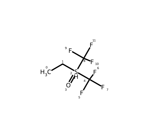 CC[SH](=O)(C(F)(F)F)C(F)(F)F